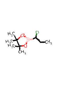 CCC(Cl)B1OC(C)(C)C(C)(C)O1